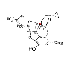 COc1cc(O)c2c3c1C[C@@H]1[C@@H]4CC[C@H](N[C@@H](C(=O)O)C(C)C)[C@H](O2)[C@]34CCN1CC1CC1